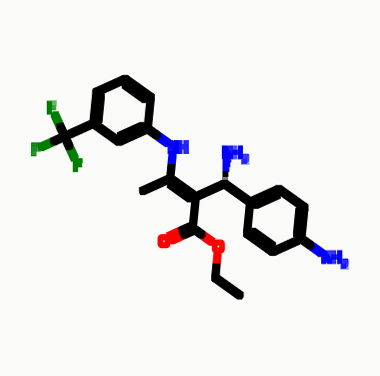 CCOC(=O)/C(=C(\C)Nc1cccc(C(F)(F)F)c1)[C@H](N)c1ccc(N)cc1